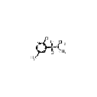 Cc1cnc(Cl)c(S(=O)(=O)N(C)C)c1